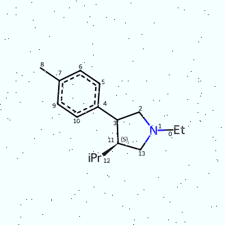 CCN1CC(c2ccc(C)cc2)[C@H](C(C)C)C1